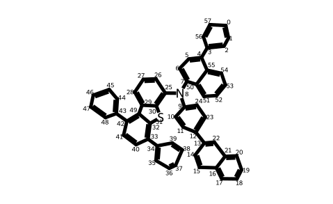 c1ccc(-c2ccc(N(c3ccc(-c4ccc5ccccc5c4)cc3)c3cccc4c3sc3c(-c5ccccc5)ccc(-c5ccccc5)c34)c3ccccc23)cc1